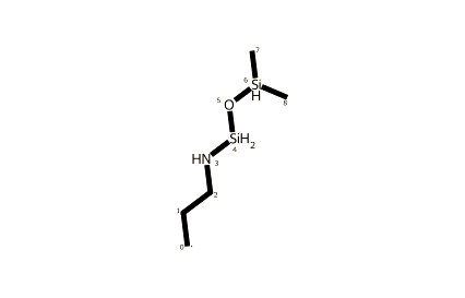 [CH2]CCN[SiH2]O[SiH](C)C